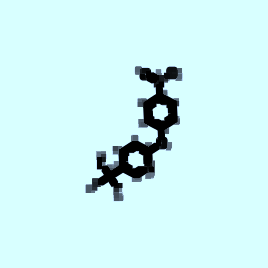 O=[N+]([O-])c1ccc(Oc2ccc(C(F)(F)F)cn2)cc1